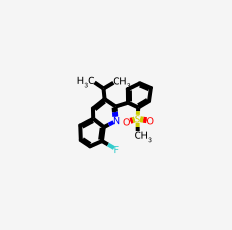 CC(C)c1cc2cccc(F)c2nc1-c1ccccc1S(C)(=O)=O